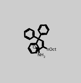 CCCCCCCC/C(=C/C(c1ccccc1)(c1ccccc1)c1ccccc1)C(N)=O